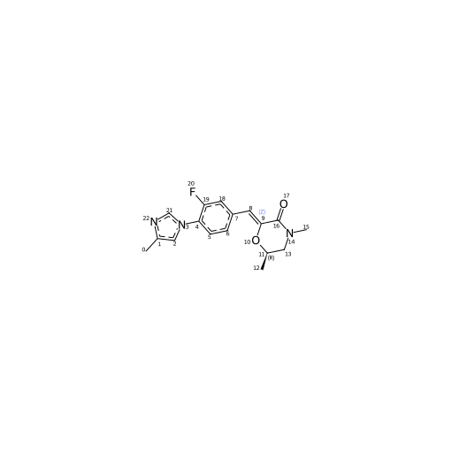 Cc1cn(-c2ccc(/C=C3\O[C@H](C)CN(C)C3=O)cc2F)cn1